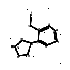 FCc1ccccc1C1CCNC1